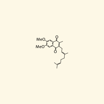 COc1cc2c(cc1OC)C(=O)C(C/C=C(\C)CCC=C(C)C)=C(C)C2=O